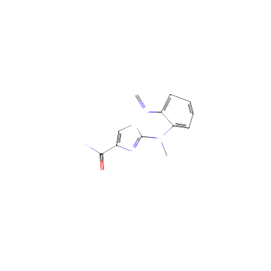 C=Nc1ccccc1N(C)c1nc(C(N)=O)cs1